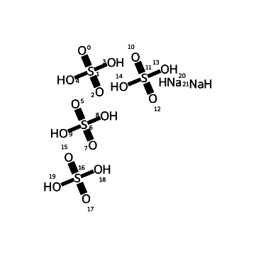 O=S(=O)(O)O.O=S(=O)(O)O.O=S(=O)(O)O.O=S(=O)(O)O.[NaH].[NaH]